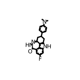 CN(C)c1ccc(C2CC3=NNC(=O)c4cc(F)cc5[nH]c(c3c45)C2)cc1